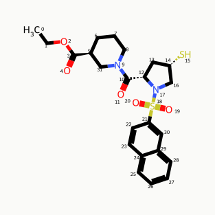 CCOC(=O)[C@H]1CCCN(C(=O)[C@@H]2C[C@H](S)CN2S(=O)(=O)c2ccc3ccccc3c2)C1